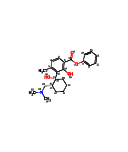 Cc1ccc(C(=O)Oc2ccccc2)c(O)c1[C@@]1(O)CCCC[C@@H]1CN(C)C